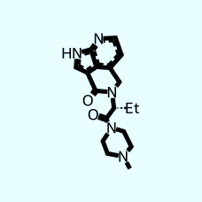 CC[C@H](C(=O)N1CCN(C)CC1)N1Cc2ccnc3[nH]cc(c23)C1=O